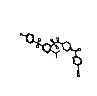 CC(C)c1ccc(S(=O)(=O)c2ccc(F)cc2)cc1S(=O)(=O)NC1CCN(C(=O)c2ccc(C#N)cc2)CC1